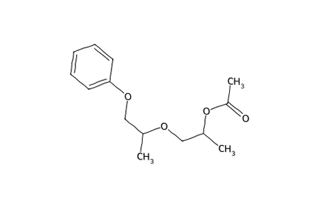 CC(=O)OC(C)COC(C)COc1ccccc1